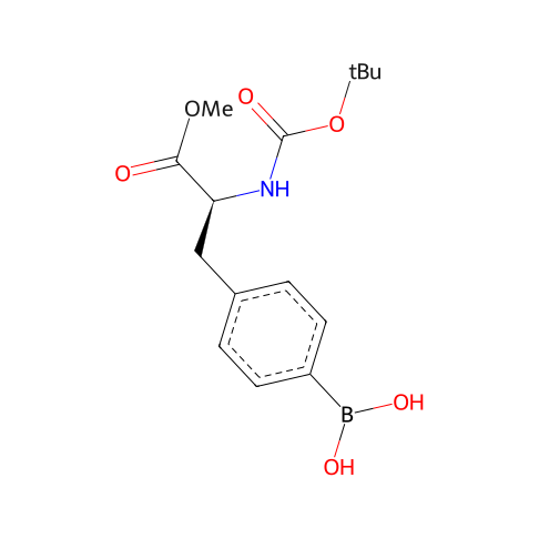 COC(=O)[C@H](Cc1ccc(B(O)O)cc1)NC(=O)OC(C)(C)C